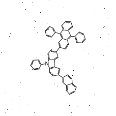 c1ccc(-c2c3ccccc3c(-c3ccccc3)c3cc(-c4ccc5c(c4)c4cc(-c6ccc7ccccc7c6)ccc4n5-c4ccccc4)ccc23)cc1